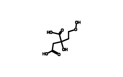 O=C(O)CC(O)(CCOO)C(=O)O